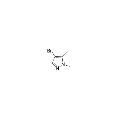 Cc1c(Br)cnn1C